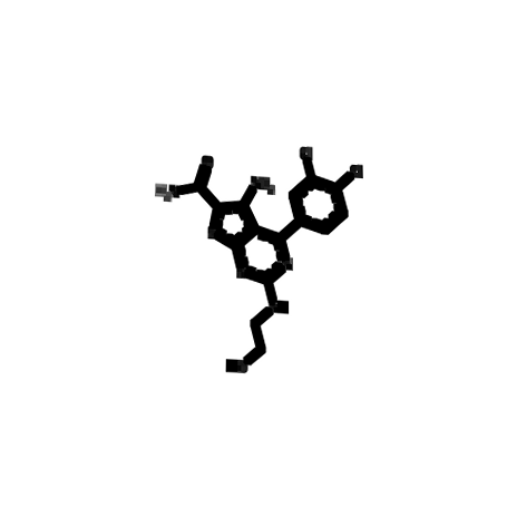 NC(=O)c1sc2nc(NCCO)nc(-c3ccc(Cl)c(Cl)c3)c2c1N